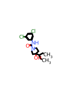 CCC(CC)C1(O)CCN(C(=O)Nc2cc(Cl)cc(Cl)c2)CC1